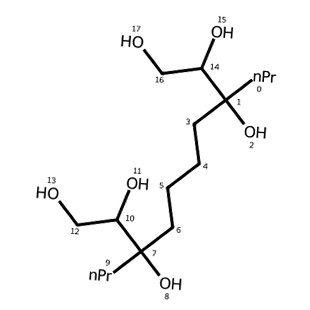 CCCC(O)(CCCCC(O)(CCC)C(O)CO)C(O)CO